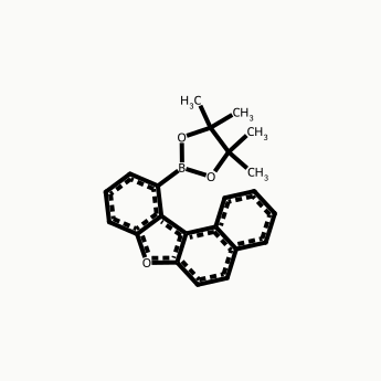 CC1(C)OB(c2cccc3oc4ccc5ccccc5c4c23)OC1(C)C